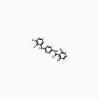 O=C(Nc1ccc(Nc2cccc(F)c2F)nc1)c1c(F)cccc1F